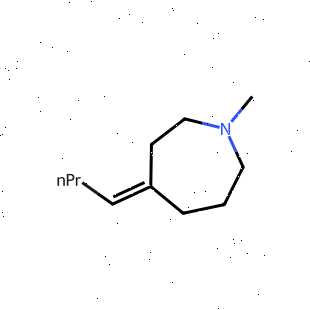 CCC/C=C1/CCCN(C)CC1